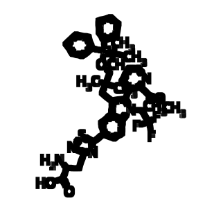 COC(C)c1ncccc1-c1c(CC(C)(C)CO[Si](c2ccccc2)(c2ccccc2)C(C)(C)C)c2cc(-c3nc(CC(N)C(=O)O)ns3)ccc2n1CC(F)(F)F